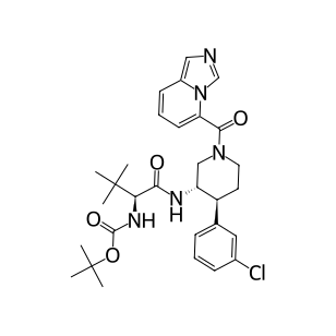 CC(C)(C)OC(=O)N[C@H](C(=O)N[C@@H]1CN(C(=O)c2cccc3cncn23)CC[C@H]1c1cccc(Cl)c1)C(C)(C)C